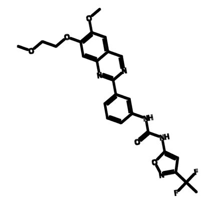 COCCOc1cc2nc(-c3cccc(NC(=O)Nc4cc(C(C)(F)F)no4)c3)ncc2cc1OC